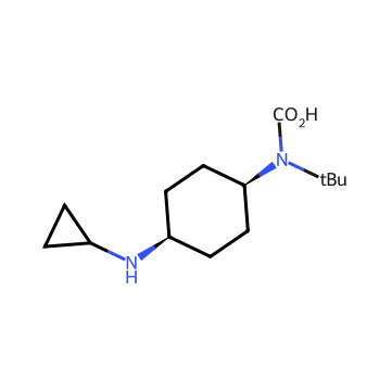 CC(C)(C)N(C(=O)O)[C@H]1CC[C@@H](NC2CC2)CC1